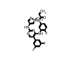 C=CC(=O)Nc1ccc(F)c(Nc2nc(Nc3cnn(C)c3)ncc2-c2cc(F)cc(F)c2)c1